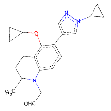 CC1CCc2c(ccc(-c3cnn(C4CC4)c3)c2OC2CC2)N1CC=O